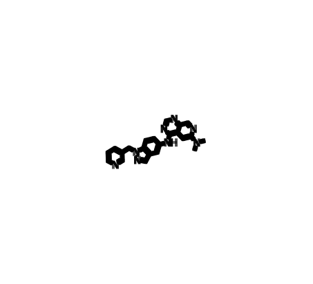 CN(C)c1cc2c(Nc3ccc4c(cnn4Cc4cccnc4)c3)ncnc2cn1